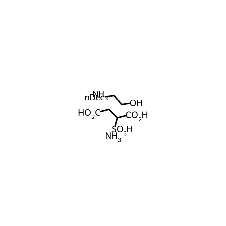 CCCCCCCCCCCCO.N.N.O=C(O)CC(C(=O)O)S(=O)(=O)O